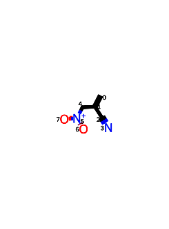 C=C(C#N)C[N+](=O)[O-]